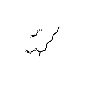 CCCCCCC(C)ON=O.O=CO